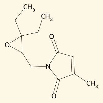 CCC1(CC)OC1CN1C(=O)C=C(C)C1=O